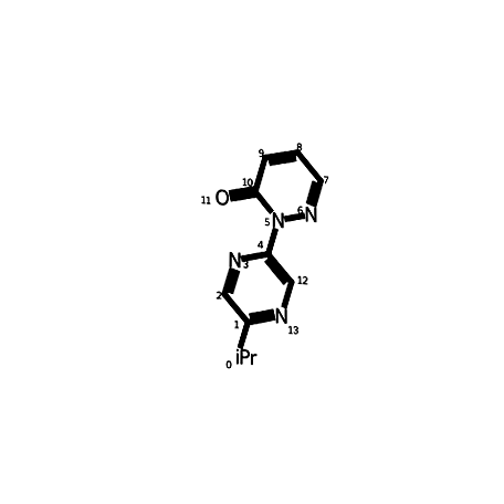 CC(C)c1cnc(-n2ncccc2=O)cn1